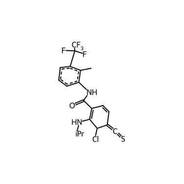 Cc1c(NC(=O)C2=C(NC(C)C)C(Cl)C(=C=S)C=C2)cccc1C(F)(F)C(F)(F)F